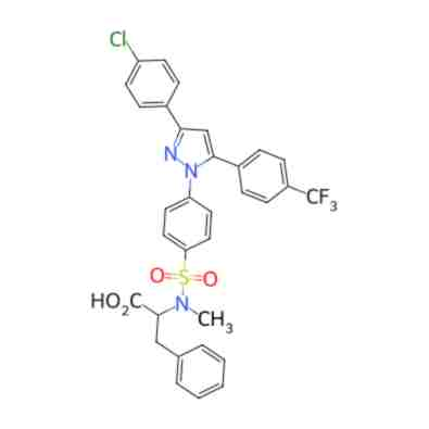 CN(C(Cc1ccccc1)C(=O)O)S(=O)(=O)c1ccc(-n2nc(-c3ccc(Cl)cc3)cc2-c2ccc(C(F)(F)F)cc2)cc1